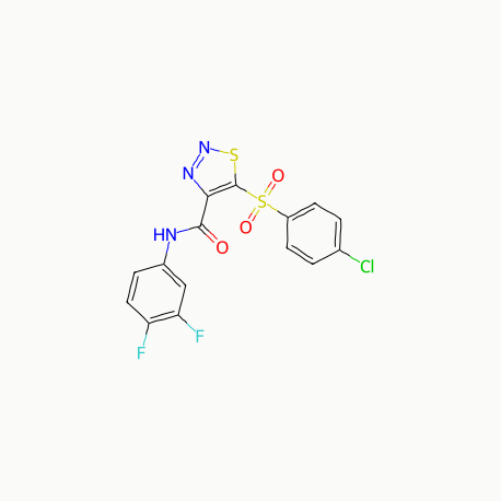 O=C(Nc1ccc(F)c(F)c1)c1nnsc1S(=O)(=O)c1ccc(Cl)cc1